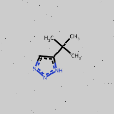 CC(C)(C)c1[c]nn[nH]1